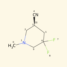 CN1C[C@@H](C#N)CC(F)(F)C1